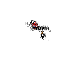 Cc1ccc(SC[C@H]2[C@H](c3ccc(S(=O)(=O)N(C(=O)OC(C)(C)C)C(C)(C)C)cc3)C2(C)C)cc1